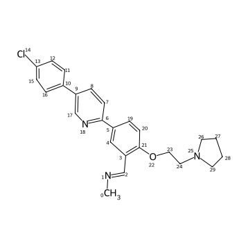 CN=Cc1cc(-c2ccc(-c3ccc(Cl)cc3)cn2)ccc1OCCN1CCCC1